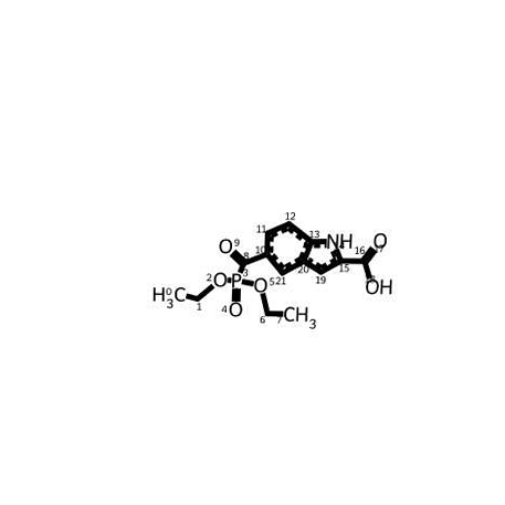 CCOP(=O)(OCC)C(=O)c1ccc2[nH]c(C(=O)O)cc2c1